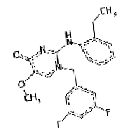 CCc1ccccc1Nc1nc(=O)c(OC)cn1Cc1cc(F)cc(F)c1